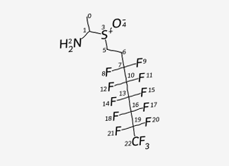 CC(N)[S+]([O-])CCC(F)(F)C(F)(F)C(F)(F)C(F)(F)C(F)(F)C(F)(F)F